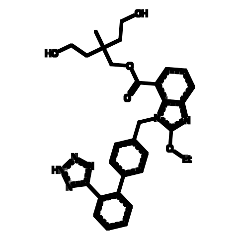 CCOc1nc2cccc(C(=O)OCC(C)(CCO)CCO)c2n1Cc1ccc(-c2ccccc2-c2nn[nH]n2)cc1